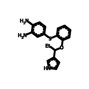 CCC(Oc1ccccc1Sc1ccc(N)c(N)c1)c1cc[nH]c1